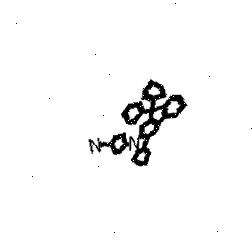 N#Cc1ccc(-n2c3ccccc3c3cc4c(cc32)C(c2ccccc2)(c2ccccc2)c2ccccc2-4)cc1